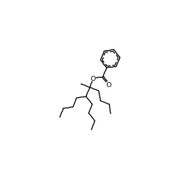 CCCCC(CCCC)C(C)(CCCC)OC(=O)c1ccccc1